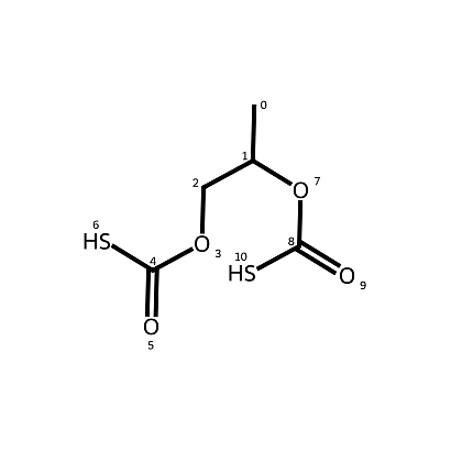 CC(COC(=O)S)OC(=O)S